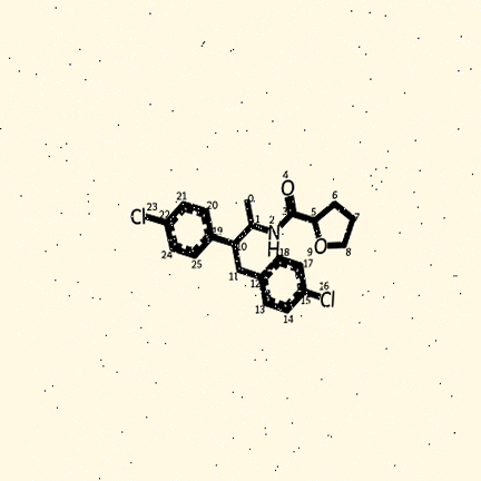 CC(NC(=O)C1CCCO1)C(Cc1ccc(Cl)cc1)c1ccc(Cl)cc1